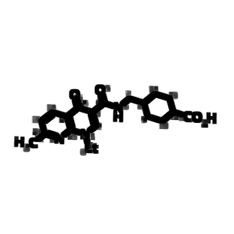 CCn1cc(C(=O)NCC2CCC(C(=O)O)CC2)c(=O)c2ccc(C)nc21